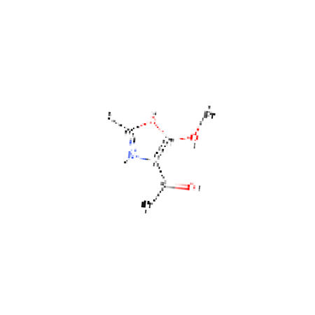 Cc1nc(C(=O)C(C)C)c(OC(C)C)o1